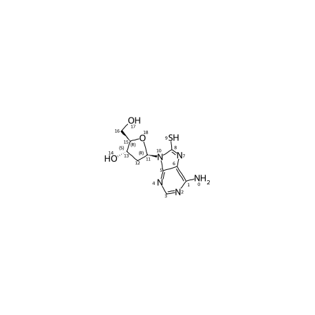 Nc1ncnc2c1nc(S)n2[C@H]1C[C@H](O)[C@@H](CO)O1